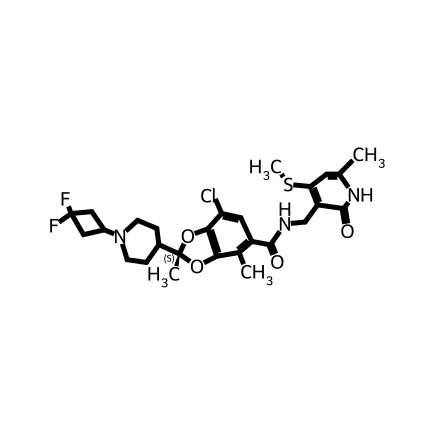 CSc1cc(C)[nH]c(=O)c1CNC(=O)c1cc(Cl)c2c(c1C)O[C@](C)(C1CCN(C3CC(F)(F)C3)CC1)O2